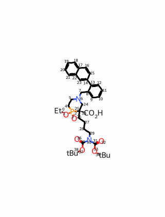 CCOP1(=O)CCN(Cc2ccccc2-c2ccc3ccccc3c2)C[C@@]1(CCCCN(C(=O)OC(C)(C)C)C(=O)OC(C)(C)C)C(=O)O